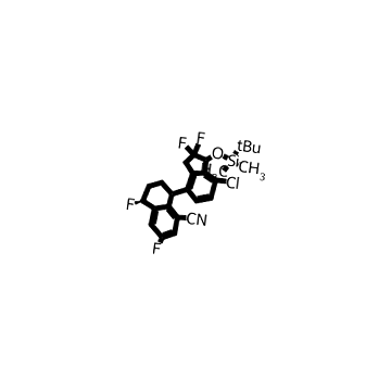 CC(C)(C)[Si](C)(C)OC1c2c(Cl)ccc(C3CC[C@H](F)c4cc(F)cc(C#N)c43)c2CC1(F)F